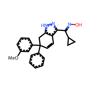 COc1cccc(C2(c3ccccc3)C=Cc3c(/C(=N/O)C4CC4)n[nH]c3C2)c1